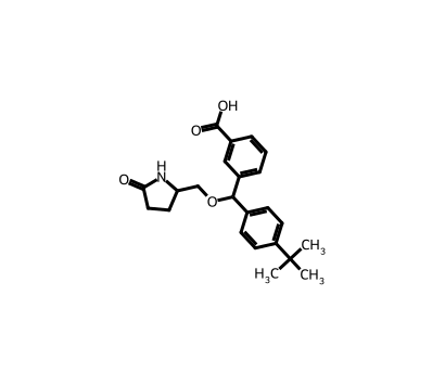 CC(C)(C)c1ccc(C(OCC2CCC(=O)N2)c2cccc(C(=O)O)c2)cc1